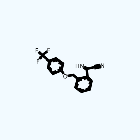 N#CC(=N)c1ccccc1COc1ccc(C(F)(F)F)cc1